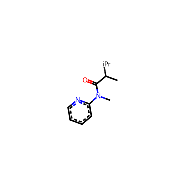 CC(C)C(C)C(=O)N(C)c1ccccn1